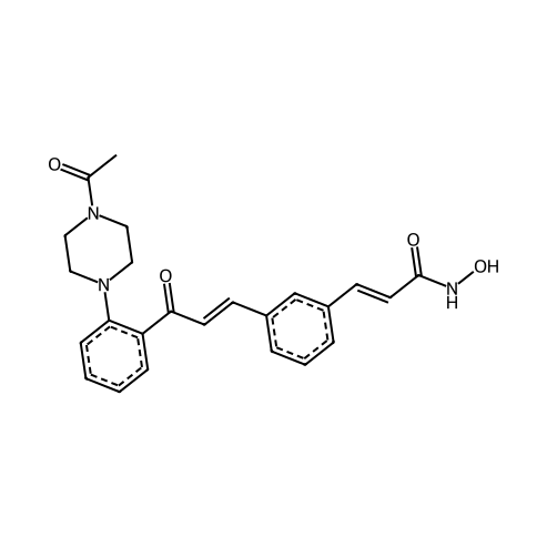 CC(=O)N1CCN(c2ccccc2C(=O)C=Cc2cccc(C=CC(=O)NO)c2)CC1